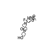 CCS(=O)(=O)Nc1ccc(N2CCC[C@]3(CCN([C@H]4CC[C@H](O)CC4)C3=O)C2)c(F)c1